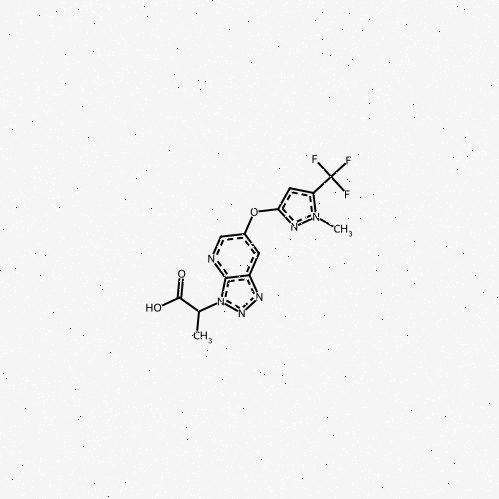 CC(C(=O)O)n1nnc2cc(Oc3cc(C(F)(F)F)n(C)n3)cnc21